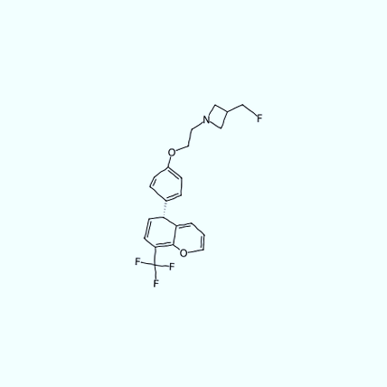 FCC1CN(CCOc2ccc([C@H]3C=CC(C(F)(F)F)=C4OC=CC=C43)cc2)C1